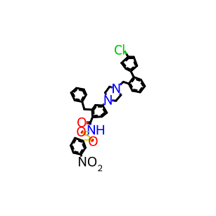 O=C(NS(=O)(=O)c1cccc([N+](=O)[O-])c1)c1ccc(N2CCN(Cc3ccccc3-c3ccc(Cl)cc3)CC2)cc1Cc1ccccc1